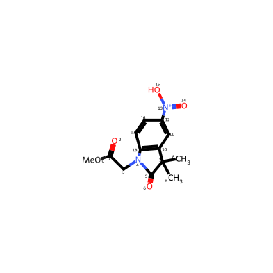 COC(=O)CN1C(=O)C(C)(C)c2cc([N+](=O)O)ccc21